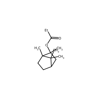 CCC(=O)OC1(C)CC2CCC1(C)C2(C)C